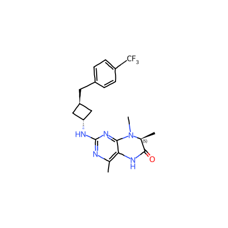 Cc1nc(N[C@H]2C[C@H](Cc3ccc(C(F)(F)F)cc3)C2)nc2c1NC(=O)[C@H](C)N2C